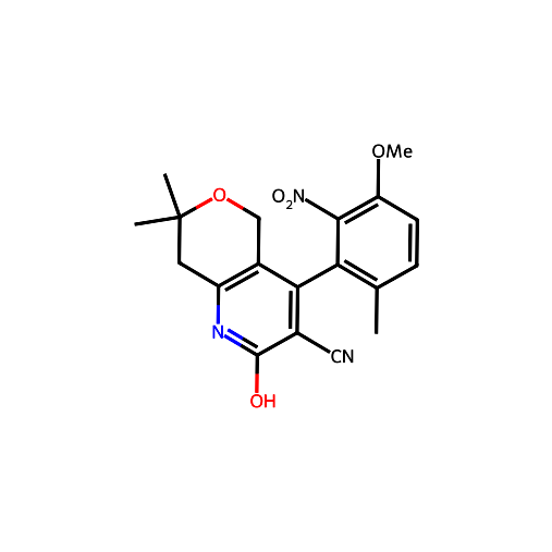 COc1ccc(C)c(-c2c(C#N)c(O)nc3c2COC(C)(C)C3)c1[N+](=O)[O-]